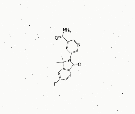 CC1(C)c2cc(F)ccc2C(=O)N1c1cncc(C(N)=O)c1